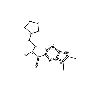 Cc1[nH]c2ccc(C(=O)N(C)CCN3CCCC3)cc2c1C